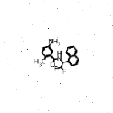 Cc1ccc(N)cc1C(=O)NC(c1cccc2ccccc12)C(F)F